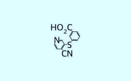 N#Cc1ccncc1Sc1cccc(C(=O)O)c1